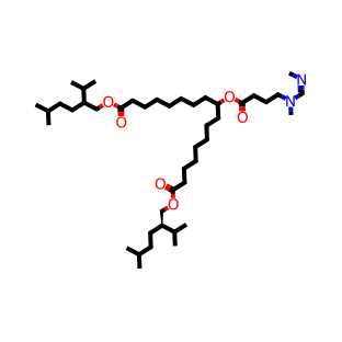 C/N=C\N(C)CCCC(=O)OC(CCCCCCCC(=O)OCC(CCC(C)C)C(C)C)CCCCCCCC(=O)OC[C@H](CCC(C)C)C(C)C